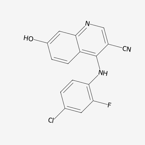 N#Cc1cnc2cc(O)ccc2c1Nc1ccc(Cl)cc1F